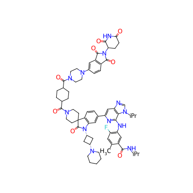 Cc1cc(F)c(Nc2nc(-c3ccc4c(c3)N([C@H]3C[C@@H](N5CCCCC5)C3)C(=O)C43CCN(C(=O)C4CCC(C(=O)N5CCN(c6ccc7c(c6)C(=O)N(C6CCC(=O)NC6=O)C7=O)CC5)CC4)CC3)cc3ncn(C(C)C)c23)cc1C(=O)NC(C)C